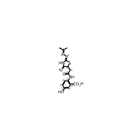 CC(C)=N/N=C1\NC(=O)C(CC(=O)Nc2ccc(O)cc2C(=O)O)S1